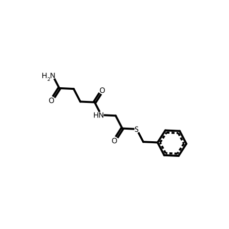 NC(=O)CCC(=O)NCC(=O)SCc1ccccc1